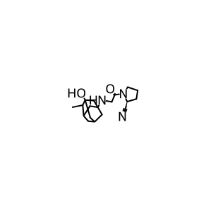 CC1C2CC3CC(NCC(=O)N4CCC[C@H]4C#N)(C2)CC1(O)C3